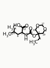 CCC1(OC(=O)NC(CC(C)C)C(=O)O)COCOC1